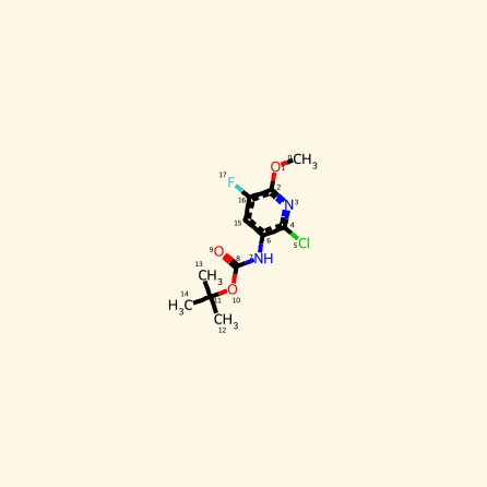 COc1nc(Cl)c(NC(=O)OC(C)(C)C)cc1F